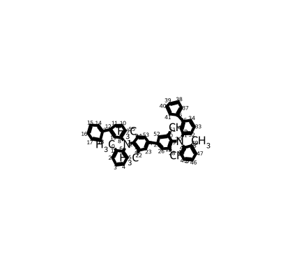 Cc1ccccc1N(c1cccc(-c2ccccc2)c1)c1c(C)cc(-c2cc(C)c(N(c3cccc(-c4ccccc4)c3)c3ccccc3C)c(C)c2)cc1C